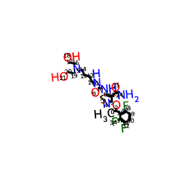 CC(Oc1nsc(NC(=O)NCCCCN(CCO)CCO)c1C(N)=O)c1c(F)ccc(F)c1F